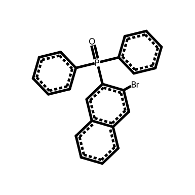 O=P(c1ccccc1)(c1ccccc1)c1cc2ccccc2cc1Br